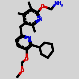 COCOc1ccc(Cc2c(C)nc(OCN)c(C)c2C)nc1C1CCCCC1